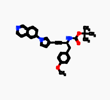 COc1ccc(C[C@@H](C#Cc2ccn(-c3ccc4cnccc4c3)c2)NC(=O)OC(C)(C)C)cc1